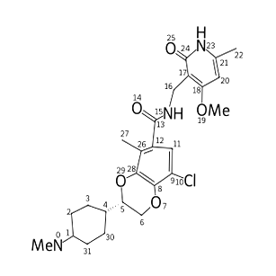 CNC1CCC([C@H]2COc3c(Cl)cc(C(=O)NCc4c(OC)cc(C)[nH]c4=O)c(C)c3O2)CC1